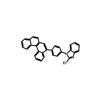 CCc1nc2ccccc2n1-c1ccc(-c2cc3ccc4ccccc4c3c3ccccc23)cc1